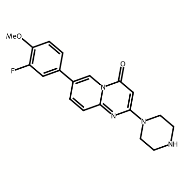 COc1ccc(-c2ccc3nc(N4CCNCC4)cc(=O)n3c2)cc1F